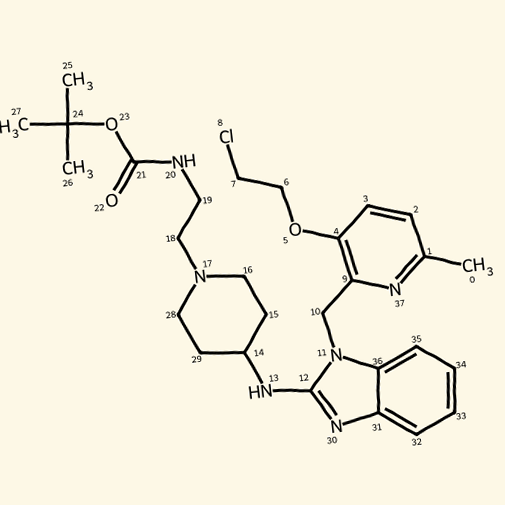 Cc1ccc(OCCCl)c(Cn2c(NC3CCN(CCNC(=O)OC(C)(C)C)CC3)nc3ccccc32)n1